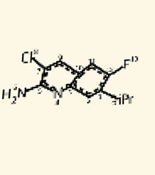 CC(C)c1cc2nc(N)c(Cl)cc2cc1F